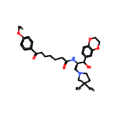 COc1ccc(C(=O)CCCCCC(=O)N[C@H](CN2CCC(C)(C)C2)C(O)c2ccc3c(c2)OCCO3)cc1